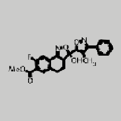 COC(=O)c1cc2c(cc1F)C1=NOC(O)(c3onc(-c4ccccc4)c3C)C1CC2